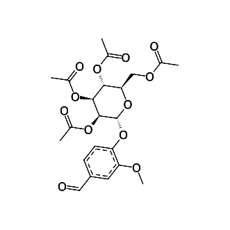 COc1cc(C=O)ccc1O[C@H]1O[C@H](COC(C)=O)[C@@H](OC(C)=O)[C@H](OC(C)=O)[C@@H]1OC(C)=O